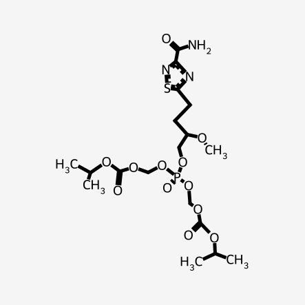 COC(CCc1nc(C(N)=O)ns1)COP(=O)(OCOC(=O)OC(C)C)OCOC(=O)OC(C)C